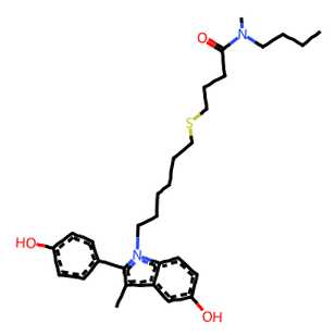 CCCCN(C)C(=O)CCCSCCCCCCn1c(-c2ccc(O)cc2)c(C)c2cc(O)ccc21